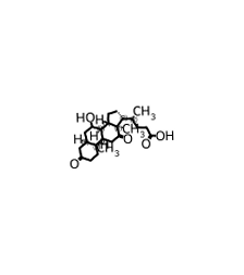 C[C@H](CCC(=O)O)[C@H]1CC[C@H]2[C@@H]3C(O)C[C@@H]4CC(=O)CC[C@]4(C)[C@H]3CC(=O)[C@]12C